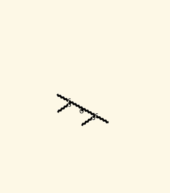 CCCCCCCCSC(CCCCCCCC(=O)CCCCCCCC(SCCCCCCCC)SCCCCCCCC)SCCCCCCCC